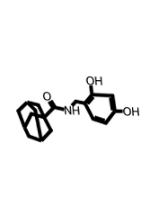 O=C(NCc1ccc(O)cc1O)C12CC3CC(CC(C3)C1)C2